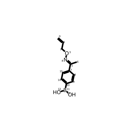 C=CCON=C(C)c1ccc(B(O)O)cc1